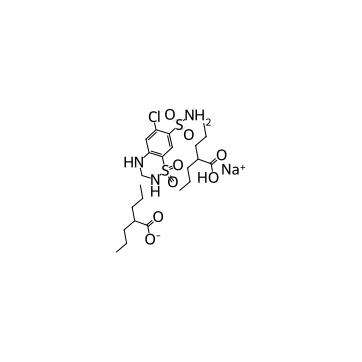 CCCC(CCC)C(=O)O.CCCC(CCC)C(=O)[O-].NS(=O)(=O)c1cc2c(cc1Cl)NCNS2(=O)=O.[Na+]